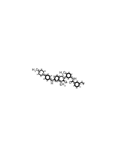 Cc1ccc(NC(=O)c2cccc(CF)c2)cc1N1Cc2cnc(Nc3ccc(N4CCN(C)CC4)cc3)nc2N(C)C1=O